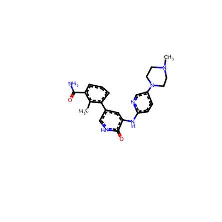 Cc1c(C(N)=O)cccc1-c1c[nH]c(=O)c(Nc2ccc(N3CCN(C)CC3)cn2)c1